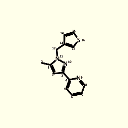 Cc1cc(-c2ccccn2)nn1Cc1ccsc1